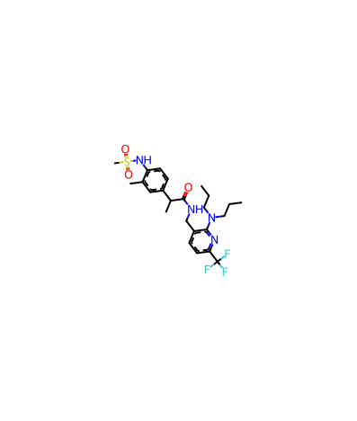 CCCN(CCC)c1nc(C(F)(F)F)ccc1CNC(=O)C(C)c1ccc(NS(C)(=O)=O)c(C)c1